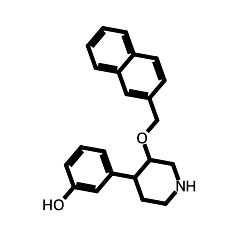 Oc1cccc(C2CCNCC2OCc2ccc3ccccc3c2)c1